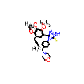 CC#CCc1cc(-c2n[nH]c(=S)n2-c2ccc(CN3CCOCC3)cc2)c(OC)c(OC)c1OC